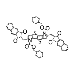 O=C1C(=Cc2cc3sc4c(sc5cc(C=C6C(=O)c7cc8ccccc8cc7C6=O)n(C(=O)OCc6ccccc6)c54)c3n2C(=O)OCc2ccccc2)C(=O)c2cc3ccccc3cc21